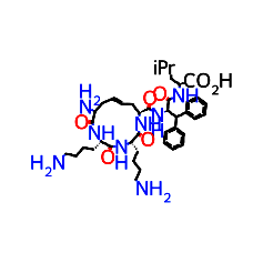 CC(C)C[C@H](NC(=O)[C@@H](NC(=O)[C@@H]1C/C=C/C[C@H](N)C(=O)N[C@@H](CCCCN)C(=O)N[C@@H](CCCCN)C(=O)N1)C(c1ccccc1)c1ccccc1)C(=O)O